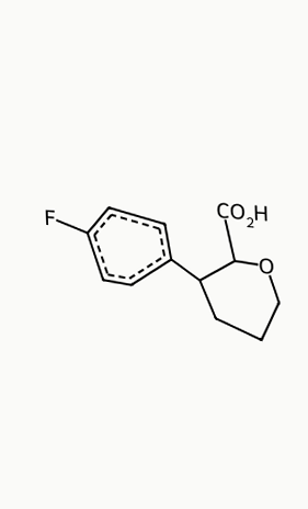 O=C(O)C1OCCCC1c1ccc(F)cc1